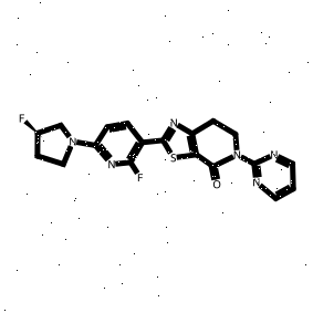 O=C1c2sc(-c3ccc(N4CC[C@@H](F)C4)nc3F)nc2CCN1c1ncccn1